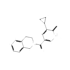 C=C(N)/C(=C\C(=C/C)C(=O)N1CCc2ccccc2[C@H]1C)C1CC1